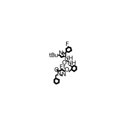 CCc1c(OCc2ccccc2CNC(=O)Nc2cc(C(C)(C)C)nn2-c2cccc(F)c2)ncn(Cc2ccccc2)c1=O